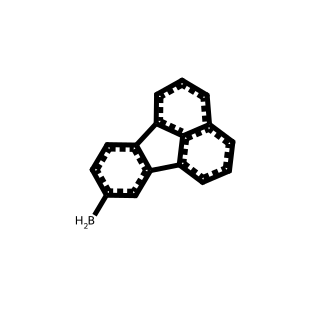 Bc1ccc2c(c1)-c1cccc3cccc-2c13